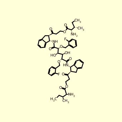 CC[C@H](C)[C@H](N)C(=O)OCCC(=O)[C@@H]1Cc2ccccc2[C@H]1NC(=O)[C@H](OCc1ccccc1F)[C@H](O)[C@@H](O)[C@@H](OCc1ccccc1F)C(=O)N[C@@H]1c2ccccc2C[C@H]1C(=O)CCOC(=O)[C@@H](N)[C@@H](C)CC